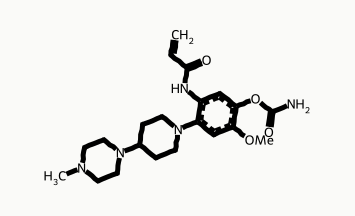 C=CC(=O)Nc1cc(OC(N)=O)c(OC)cc1N1CCC(N2CCN(C)CC2)CC1